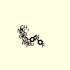 CC[C@@H](C)N1CCN(S(=O)(=O)c2cnn(C)n2)C[C@H]1c1cc2cnn(-c3ccc(F)cc3)c2cc1C